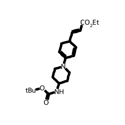 CCOC(=O)C=CC1C=CC(N2CCC(NC(=O)OC(C)(C)C)CC2)=CC1